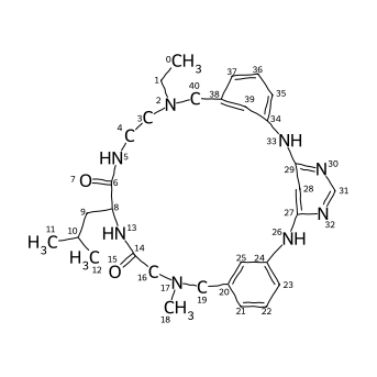 CCN1CCNC(=O)C(CC(C)C)NC(=O)CN(C)Cc2cccc(c2)Nc2cc(ncn2)Nc2cccc(c2)C1